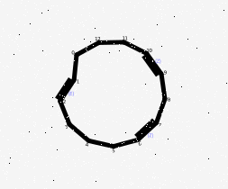 [CH]1/C=C/CCC/C=C\C/C=C\CC1